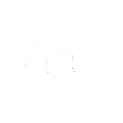 CS(=O)(=O)N1CCN(SS)CC1